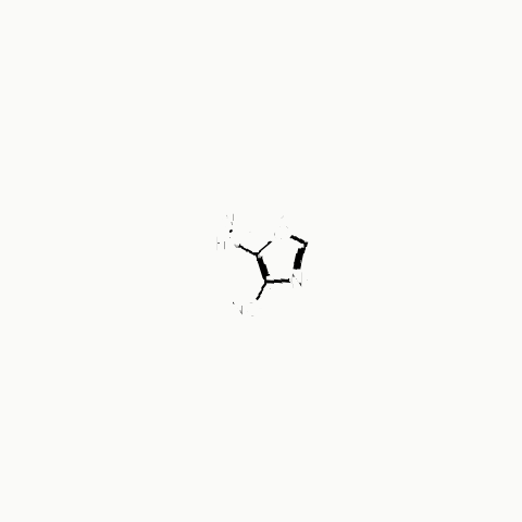 N#Cc1ncoc1NN